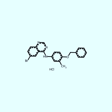 Cc1cc(Nc2ncnc3ccc(Br)cc23)ccc1OCc1ccccc1.Cl